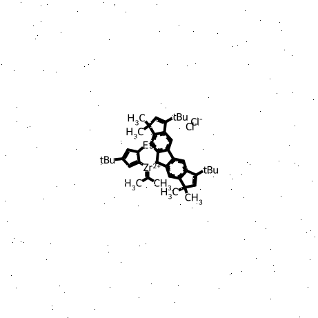 CCC1C=C(C(C)(C)C)C=[C]1[Zr+2](=[C](C)C)[CH]1c2cc3c(cc2-c2cc4c(cc21)C(C)(C)C=C4C(C)(C)C)C(C(C)(C)C)=CC3(C)C.[Cl-].[Cl-]